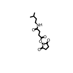 CC(C)CCNC(=O)CCC(=O)ON1C(=O)CCC1=O